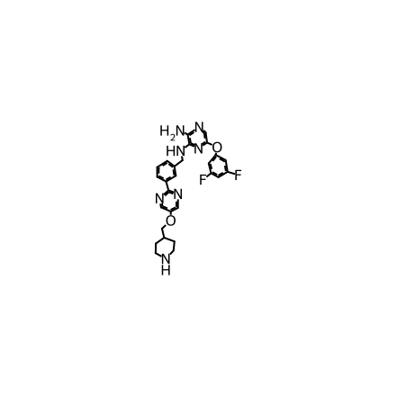 Nc1ncc(Oc2cc(F)cc(F)c2)nc1NCc1cccc(-c2ncc(OCC3CCNCC3)cn2)c1